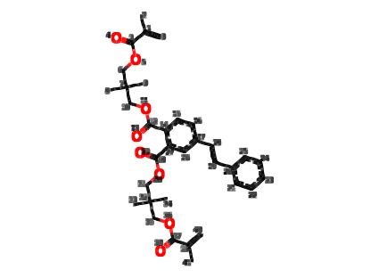 C=C(C)C(=O)OCC(C)(C)COC(=O)c1ccc(/C=C/c2ccccc2)cc1C(=O)OCC(C)(C)COC(=O)C(=C)C